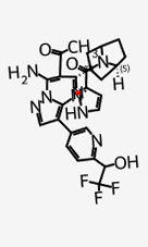 CC(=O)c1c([C@@H]2CC3CC[C@@H](C2)N3C(=O)c2cc[nH]n2)nc2c(-c3ccc(C(O)C(F)(F)F)nc3)cnn2c1N